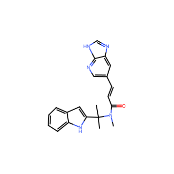 CN(C(=O)/C=C/c1cnc2[nH]cnc2c1)C(C)(C)c1cc2ccccc2[nH]1